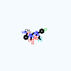 CNC(=O)c1ccccc1-n1nc(Cn2nc(-c3ccc(Cl)cc3)n(C[C@H](O)C(F)(F)F)c2=O)nc1C(=O)O